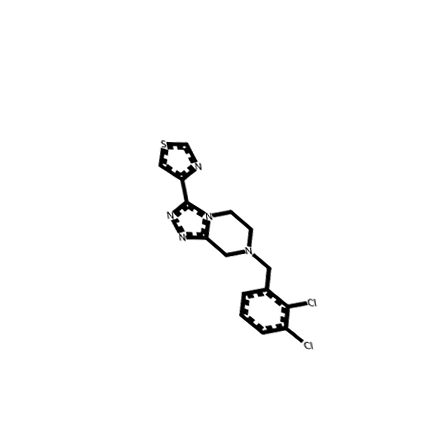 Clc1cccc(CN2CCn3c(nnc3-c3cscn3)C2)c1Cl